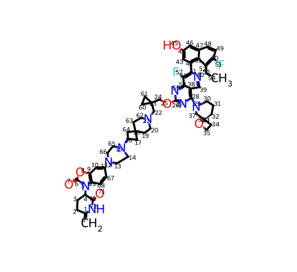 C=C1CCC(n2c(=O)oc3cc(N4CCN(C5CC6(CCN(CC7(COc8nc(N9CCC[C@]%10(CCO%10)C9)c9cnc(-c%10cc(O)cc%11ccc(F)c(CC)c%10%11)c(F)c9n8)CC7)CC6)C5)CC4)ccc32)C(=O)N1